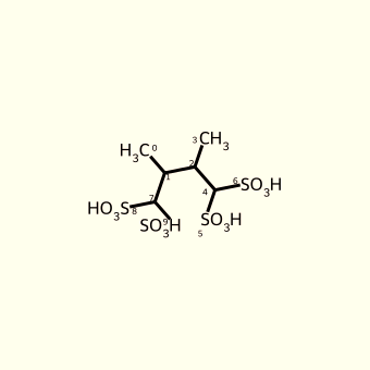 CC(C(C)C(S(=O)(=O)O)S(=O)(=O)O)C(S(=O)(=O)O)S(=O)(=O)O